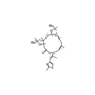 C/C1=C/C[C@@H](/C(C)=C/c2csc(C)n2)OC(=O)C[C@@H](O[Si](C)(C)C(C)(C)C)C(C)(C)S[C@H](C)[C@@H](O[Si](C)(C)C(C)(C)C)[C@@H](C)/C=C/C1